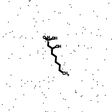 CCCCCCC(O)C[PH](=O)O